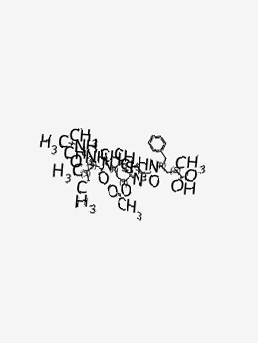 CC[C@H](C)[C@H](NC(=O)NC(C)(C)C)C(=O)N(C)[C@H](C[C@H](OC(C)=O)c1nc(C(=O)N[C@@H](Cc2ccccc2)C[C@H](C)C(=O)O)cs1)C(C)C